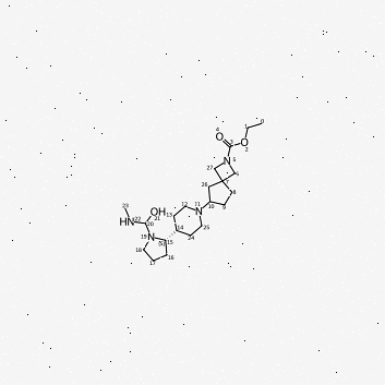 CCOC(=O)N1CC2(CCC(N3CCC([C@@H]4CCCN4C(O)NC)CC3)C2)C1